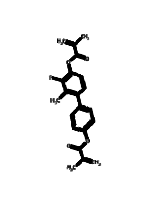 C=C(C)C(=O)Oc1ccc(-c2ccc(OC(=O)C(=C)C)c(F)c2C)cc1